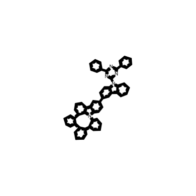 c1ccc(-c2nc(-c3ccccc3)nc(-n3c4ccccc4c4cc(-c5ccc6c(c5)c5cccc7c8ccccc8c8ccccc8c8ccccc8n6c75)ccc43)n2)cc1